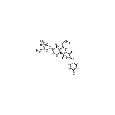 CCc1cc(C(=O)NCc2ccc(Cl)cc2)c(=O)n2c1C(=O)N(CCN(C)S(C)(=O)=O)CC2